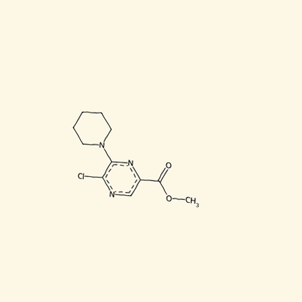 COC(=O)c1cnc(Cl)c(N2CCCCC2)n1